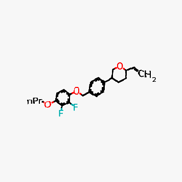 C=CC1CCC(c2ccc(COc3ccc(OCCC)c(F)c3F)cc2)CO1